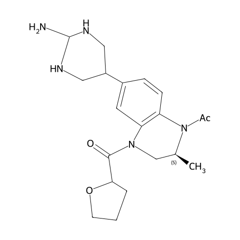 CC(=O)N1c2ccc(C3CNC(N)NC3)cc2N(C(=O)C2CCCO2)C[C@@H]1C